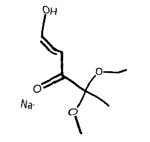 COC(C)(OC)C(=O)C=CO.[Na]